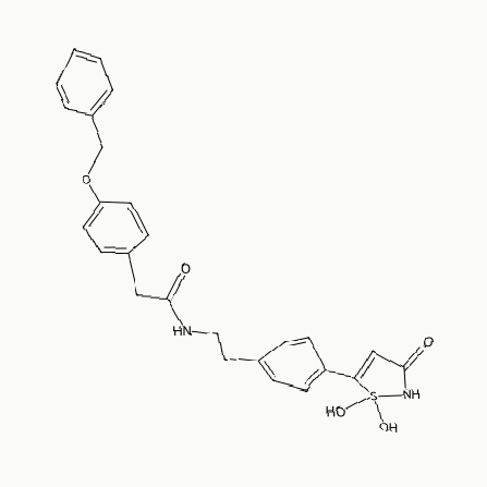 O=C1C=C(c2ccc(CCNC(=O)Cc3ccc(OCc4ccccc4)cc3)cc2)S(O)(O)N1